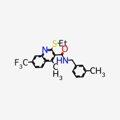 CCSc1nc2cc(C(F)(F)F)ccc2c(C)c1C(=O)NCc1cccc(C)c1